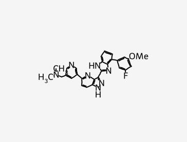 COc1cc(F)cc(-c2cccc3[nH]c(-c4n[nH]c5ccc(-c6cncc(CN(C)C)c6)nc45)nc23)c1